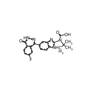 CC(C)(C)N(C(=O)O)c1nc2cc(-c3n[nH]c(=O)c4ccc(F)cc34)ccc2[nH]1